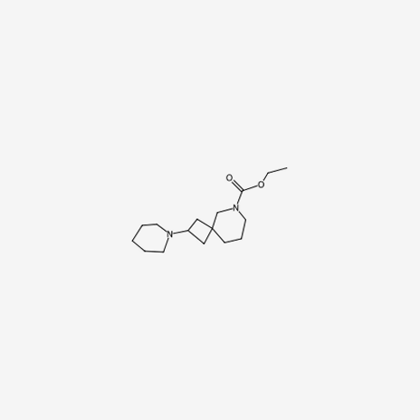 CCOC(=O)N1CCCC2(CC(N3CCCCC3)C2)C1